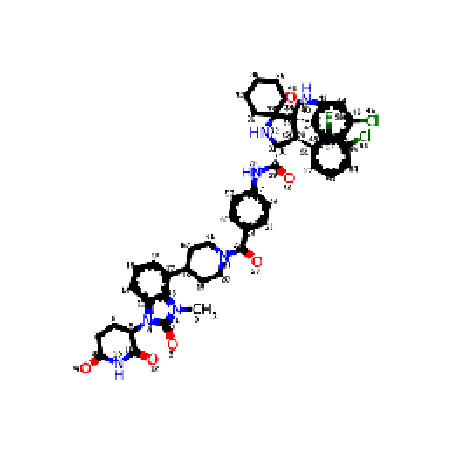 Cn1c(=O)n(C2CCC(=O)NC2=O)c2cccc(C3CCN(C(=O)c4ccc(NC(=O)[C@@H]5NC6(CCCCC6)[C@@]6(C(=O)Nc7cc(Cl)ccc76)[C@H]5c5cccc(Cl)c5F)cc4)CC3)c21